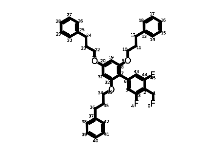 FCc1c(F)cc(-c2c(OCCCc3ccccc3)cc(OCCCc3ccccc3)cc2OCCCc2ccccc2)cc1F